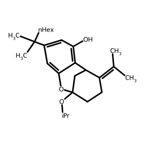 CCCCCCC(C)(C)c1cc(O)c2c(c1)OC1(OC(C)C)CCC(=C(C)C)C2C1